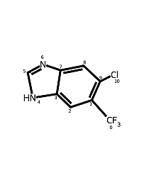 FC(F)(F)c1cc2[nH][c]nc2cc1Cl